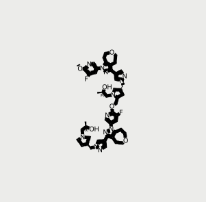 COc1ncc(-n2nc(-c3cnn(C[C@@H]4CC(COc5ncc(-n6nc(-c7cnn(C[C@H]8CCN(C[C@@H](C)O)C8)c7)c7c6CCOCC7)cc5F)N(C[C@@H](C)O)C4)c3)c3c2CCOCC3)cc1F